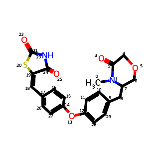 CN1C(=O)COCC1Cc1ccc(Oc2ccc(C=C3SC(=O)NC3=O)cc2)cc1